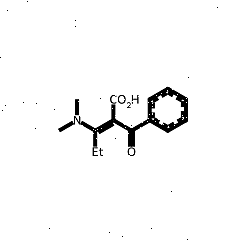 CC/C(=C(/C(=O)O)C(=O)c1ccccc1)N(C)C